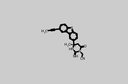 CC#Cc1ccc2sc3ccc([C@]4(C)CC(=O)N(CC#N)C(=N)N4)cc3c2c1